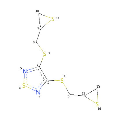 C(Sc1nsnc1SCC1CS1)C1CS1